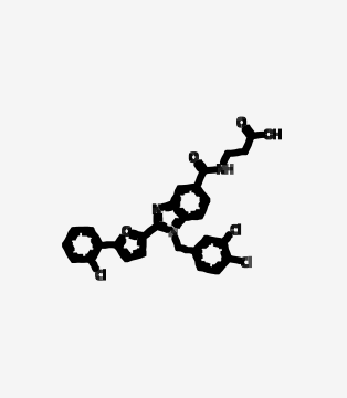 O=C(O)CCNC(=O)c1ccc2c(c1)nc(-c1ccc(-c3ccccc3Cl)o1)n2Cc1ccc(Cl)c(Cl)c1